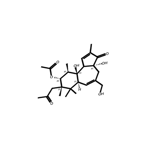 CC(=O)C[C@]1(C)[C@H](OC(C)=O)[C@@H](C)[C@]2(O)C3C=C(C)C(=O)[C@@]3(O)CC(CO)=C[C@H]2C1(C)C